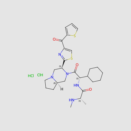 CN[C@@H](C)C(=O)N[C@H](C(=O)N1C[C@H]2CCCN2C[C@H]1c1nc(C(=O)c2cccs2)cs1)C1CCCCC1.Cl.Cl